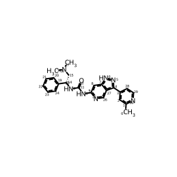 Cc1cc(-c2n[nH]c3cc(NC(=O)N[C@@H](CN(C)C)c4ccccc4)ncc23)ccn1